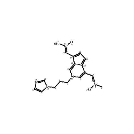 C/[N+]([O-])=C/c1cn(CCCn2ccnc2)cc2c(/C=[N+](\[O-])C(C)(C)C)ccc1-2